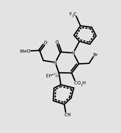 CC[C@@]1(c2ccc(C#N)cc2)C(C(=O)O)=C(CBr)N(c2cccc(C(F)(F)F)c2)C(=O)N1CC(=O)OC